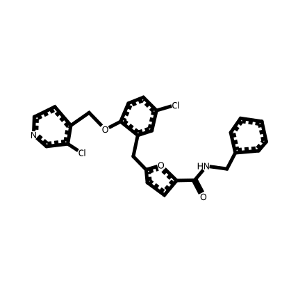 O=C(NCc1ccccc1)c1ccc(Cc2cc(Cl)ccc2OCc2ccncc2Cl)o1